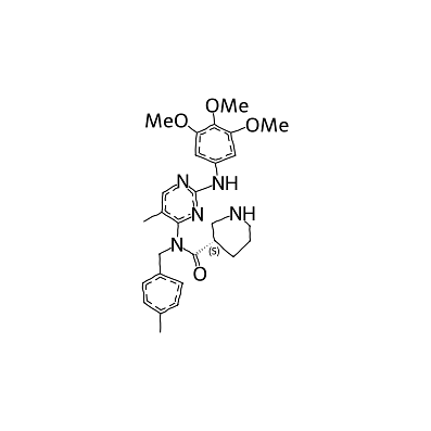 COc1cc(Nc2ncc(C)c(N(Cc3ccc(C)cc3)C(=O)[C@H]3CCCNC3)n2)cc(OC)c1OC